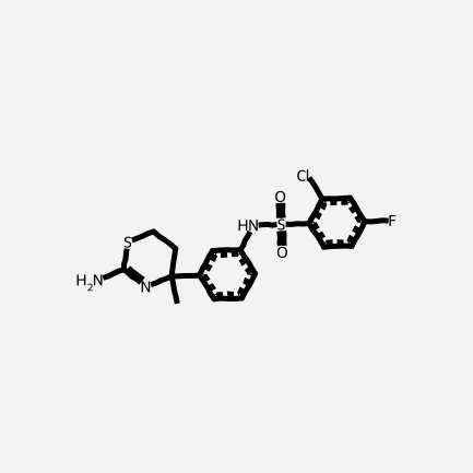 CC1(c2cccc(NS(=O)(=O)c3ccc(F)cc3Cl)c2)CCSC(N)=N1